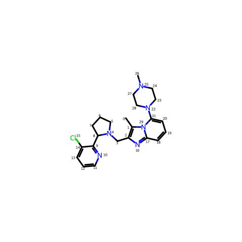 Cc1c(CN2CCCC2c2ncccc2Cl)nc2cccc(N3CCN(C)CC3)n12